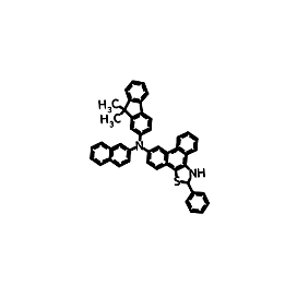 CC1(C)c2ccccc2-c2ccc(N(c3ccc4ccccc4c3)c3ccc4c5c(c6ccccc6c4c3)NC(c3ccccc3)S5)cc21